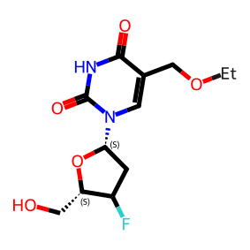 CCOCc1cn([C@@H]2CC(F)[C@H](CO)O2)c(=O)[nH]c1=O